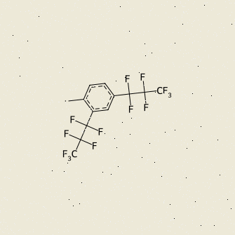 [CH2]c1ccc(C(F)(F)C(F)(F)C(F)(F)F)cc1C(F)(F)C(F)(F)C(F)(F)F